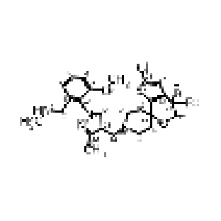 CNCc1cccc(OC)c1N1CC(CN2CCC3(CC2)OCC(F)(F)c2cc(Cl)sc23)C(C)=N1